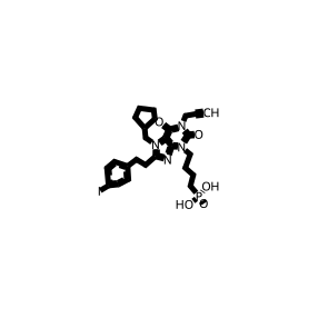 C#CCn1c(=O)c2c(nc(CCc3ccc(I)cc3)n2CC2CCCC2)n(CCCCP(=O)(O)O)c1=O